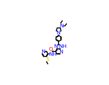 CCSc1ccncc1NC(=O)c1ccnc2[nH]c(-c3ccc(N4CCC(N(CC)CC)C4)cc3)nc12